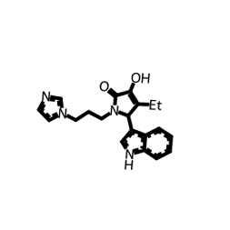 CCC1=C(O)C(=O)N(CCCn2ccnc2)C1c1c[nH]c2ccccc12